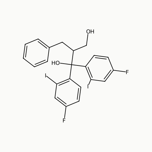 OCC(Cc1ccccc1)C(O)(c1ccc(F)cc1I)c1ccc(F)cc1I